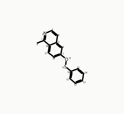 Cc1nccc2cc(OSc3ccccc3)ccc12